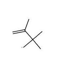 [CH2]C(C)(C)C(=C)C